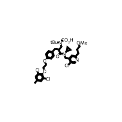 COCCCc1cc(CN(C(=O)C(Cc2ccc(OCCOc3c(Cl)cc(C)cc3Cl)cc2)CN(C(=O)O)C(C)(C)C)C2CC2)c(Cl)cn1